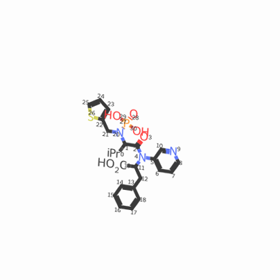 CC(C)C(C(=O)N(c1cccnc1)C(Cc1ccccc1)C(=O)O)N(Cc1cccs1)P(=O)(O)O